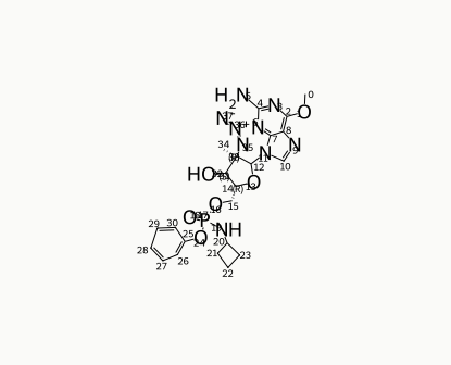 COc1nc(N)nc2c1ncn2C1O[C@H](COP(=O)(NC2CCC2)Oc2ccccc2)[C@@H](O)[C@@]1(C)N=[N+]=[N-]